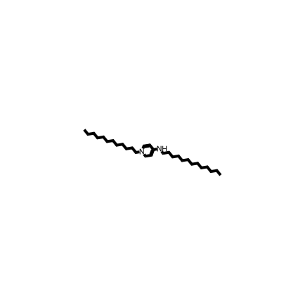 CCCCCCCCCCCCCNC1=CCN(CCCCCCCCCCCC)C=C1